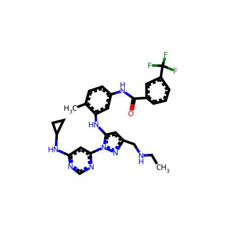 CCNCc1cc(Nc2cc(NC(=O)c3cccc(C(F)(F)F)c3)ccc2C)n(-c2cc(NC3CC3)ncn2)n1